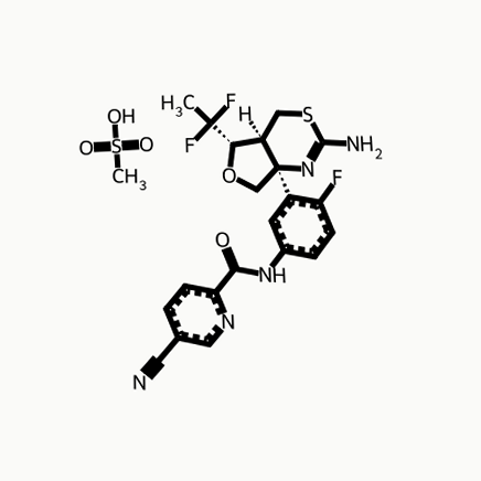 CC(F)(F)[C@H]1OC[C@]2(c3cc(NC(=O)c4ccc(C#N)cn4)ccc3F)N=C(N)SC[C@H]12.CS(=O)(=O)O